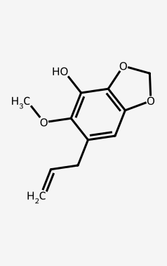 C=CCc1cc2c(c(O)c1OC)OCO2